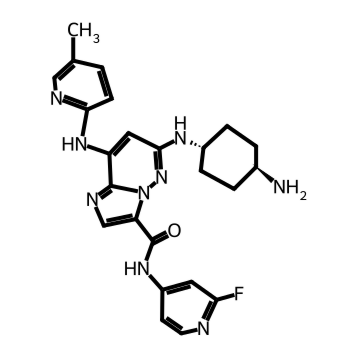 Cc1ccc(Nc2cc(N[C@H]3CC[C@H](N)CC3)nn3c(C(=O)Nc4ccnc(F)c4)cnc23)nc1